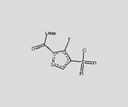 COC(=O)c1scc(S(=O)(=O)Cl)c1F